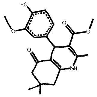 COC(=O)C1=C(C)NC2=C(C(=O)CC(C)(C)C2)C1c1ccc(O)c(OC)c1